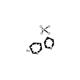 [Au+].[O-][Cl+3]([O-])([O-])[O-].c1ccncc1.c1ccncc1